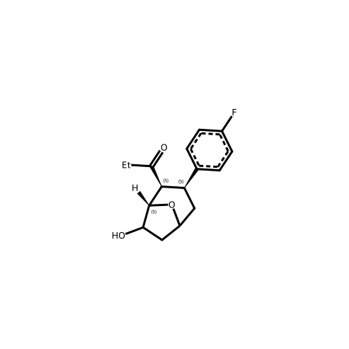 CCC(=O)[C@H]1[C@@H](c2ccc(F)cc2)CC2CC(O)[C@H]1O2